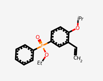 C=Cc1cc(P(=O)(OCC)c2ccccc2)ccc1OC(C)C